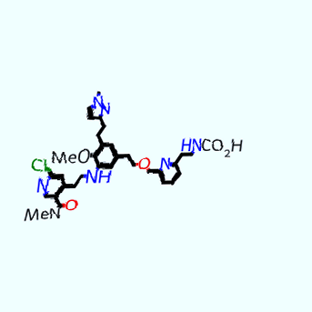 CNC(=O)c1cnc(Cl)cc1CCNc1cc(CCOCc2cccc(CCNC(=O)O)n2)cc(CCc2ccn(C)n2)c1OC